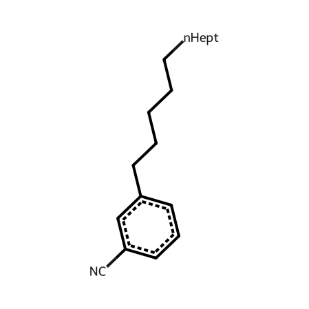 CCCCCCCCCCCCc1cccc(C#N)c1